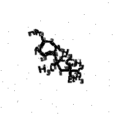 CCCc1cnc(C(C)(C)CC(C)(C)CC)cn1